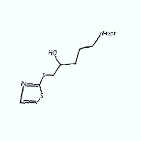 CCCCCCCCCCC(O)CSc1nccs1